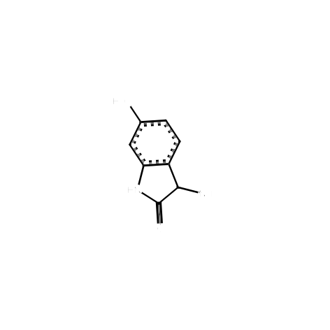 Cc1ccc2c(c1)NC(=O)C2N